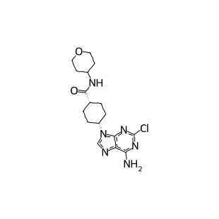 Nc1nc(Cl)nc2c1ncn2[C@H]1CC[C@@H](C(=O)NC2CCOCC2)CC1